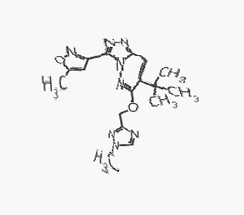 Cc1cc(-c2nnc3cc(C(C)(C)C)c(OCc4ncn(C)n4)nn23)no1